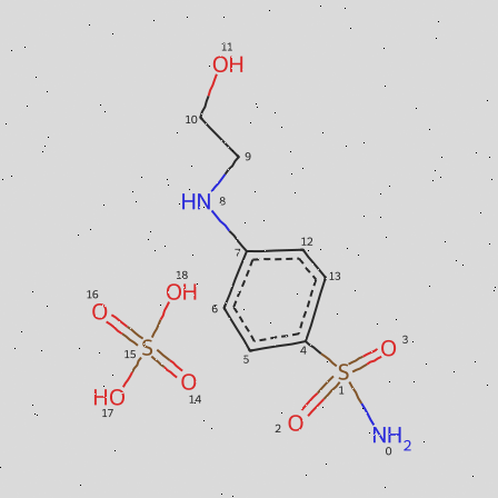 NS(=O)(=O)c1ccc(NCCO)cc1.O=S(=O)(O)O